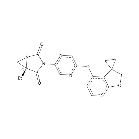 CC[C@@]12CN1C(=O)N(c1cnc(Oc3cccc4c3C3(CC3)CO4)cn1)C2=O